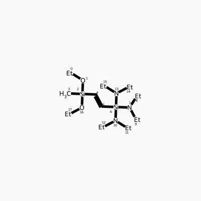 CCO[Si](C)(C=C[Si](N(CC)CC)(N(CC)CC)N(CC)CC)OCC